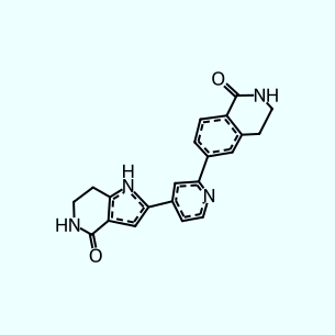 O=C1NCCc2cc(-c3cc(-c4cc5c([nH]4)CCNC5=O)ccn3)ccc21